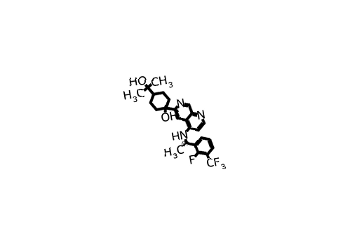 C[C@@H](Nc1ccnc2cnc(C3(O)CCC(C(C)(C)O)CC3)cc12)c1cccc(C(F)(F)F)c1F